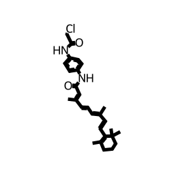 CC(C=CC1=C(C)CCCC1(C)C)=CC=CC(C)=CC(=O)Nc1ccc(NC(=O)CCl)cc1